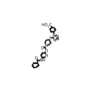 O=C(O)c1ccc(-n2nnnc2SC2CCN(C(=O)Oc3ccc(NC(=O)c4ccccc4)cn3)CC2)cc1